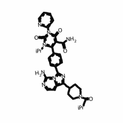 CC(C)C(=O)N1CCC(c2nc(-c3ccc(-c4c(C(N)=O)c(=O)n(-c5ccccn5)c(=O)n4C(C)C)cc3)n3c(N)nccc23)CC1